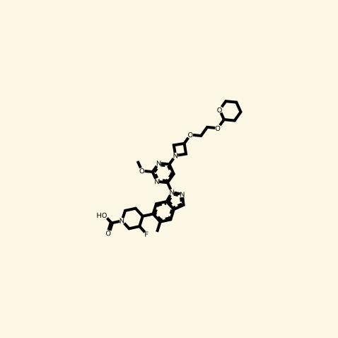 COc1nc(N2CC(OCCOC3CCCCO3)C2)cc(-n2ncc3cc(C)c(C4CCN(C(=O)O)CC4F)cc32)n1